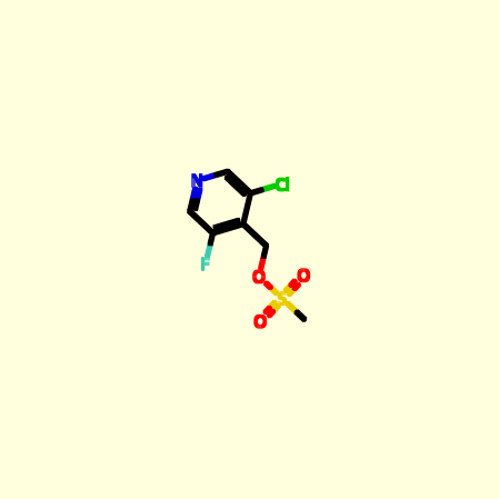 CS(=O)(=O)OCc1c(F)cncc1Cl